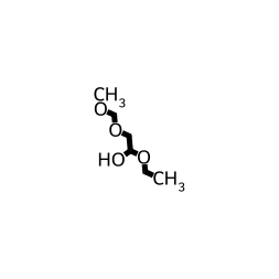 CCOC(O)COCOC